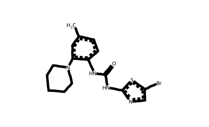 Cc1ccc(NC(=O)Nc2ncc(Br)s2)c(N2CCCCC2)c1